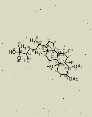 CC(=O)O[C@H]1[C@@H](OC(C)=O)CC[C@@]2(C)[C@H]1CC(F)(F)[C@@H]1[C@@H]2CC[C@]2(C)[C@@H]([C@H](C)CCC(Br)C(C)(C)O)CC[C@@H]12